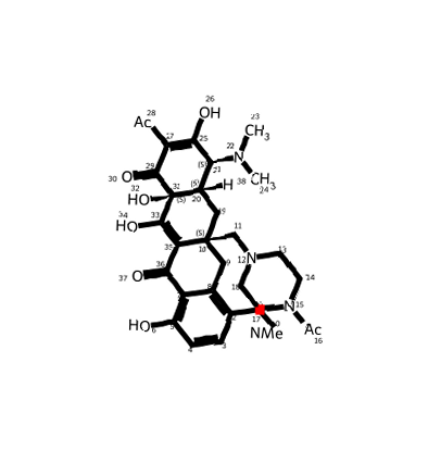 CNCc1ccc(O)c2c1C[C@@]1(CN3CCN(C(C)=O)CC3)C[C@H]3[C@H](N(C)C)C(O)=C(C(C)=O)C(=O)[C@@]3(O)C(O)=C1C2=O